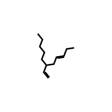 C=CC(CC=CCC)CCCCC